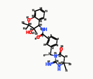 C[C@H](c1cccc(C(=O)NC2c3ccccc3OC(C)(C)C2(C)O)c1)N1C(=N)NC(C)(C)CC1=O